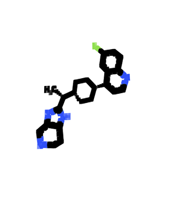 C[C@@H](c1nc2cnccc2[nH]1)[C@H]1CC[C@@H](c2ccnc3ccc(F)cc32)CC1